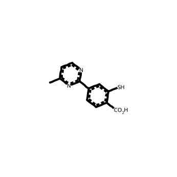 Cc1ccnc(-c2ccc(C(=O)O)c(S)c2)n1